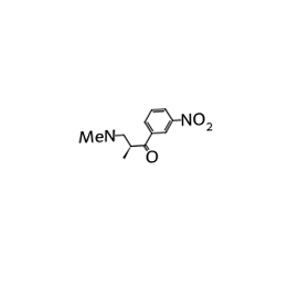 CNC[C@H](C)C(=O)c1cccc([N+](=O)[O-])c1